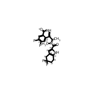 C[C@@H](c1c[nH]c(=O)c2cc(F)c(F)cc12)N(C)C(=O)c1cc2c([nH]1)CCC(F)(F)C2